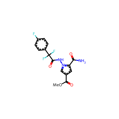 COC(=O)c1cc(C(N)=O)n(NC(=O)C(F)(F)c2ccc(F)cc2)c1